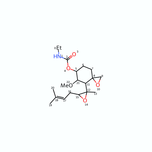 CCNC(=O)OC1CCC2(CO2)C(C2(C)OC2CC=C(C)C)C1OC